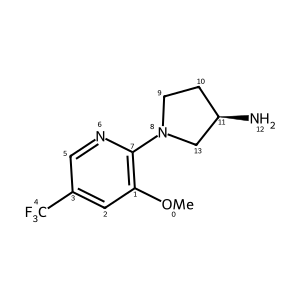 COc1cc(C(F)(F)F)cnc1N1CC[C@@H](N)C1